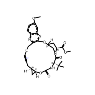 COC(=O)[C@@H]1C[C@@H]2CN1C(=O)[C@H](C(C)(C)C)NC(=O)O[C@@H]1C[C@H]1C/C=C/CCc1nc3ccc(OC)cc3nc1O2